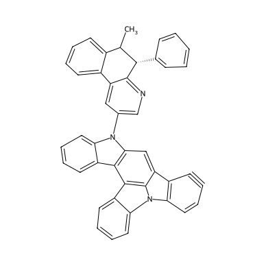 CC1c2ccccc2-c2cc(-n3c4ccccc4c4c5c6ccccc6n6c7ccc#cc7c(cc43)c56)cnc2[C@H]1c1ccccc1